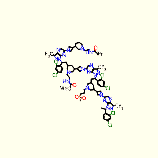 COC(=O)NCCN1CC(CC(c2ccc(Cl)cc2Cl)n2nc(C(F)(F)F)c3ncc(N4CC(C5CCCN(CCNC(=O)C(C)C)C5)C4)nc32)CC(C2CN(c3cnc4c(C(F)(F)F)nn(C(CC5CC(C6CN(c7cnc8c(C(F)(F)F)nn(C(C)c9ccc(Cl)cc9Cl)c8n7)C6)CN(CCCS(C)(=O)=O)C5)c5ccc(Cl)cc5Cl)c4n3)C2)C1